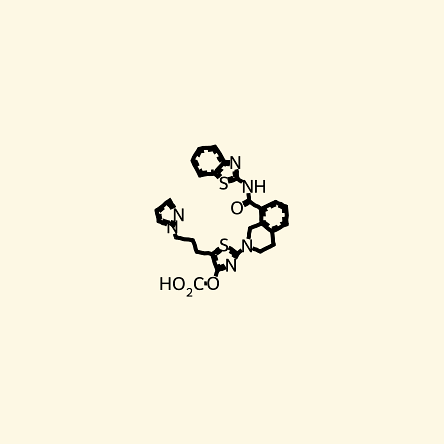 O=C(O)Oc1nc(N2CCc3cccc(C(=O)Nc4nc5ccccc5s4)c3C2)sc1CCCn1cccn1